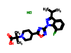 CC(C)c1nn(-c2noc(C3CCN(C(C)(C)C(=O)O)CC3)n2)c2c(F)cccc12.Cl